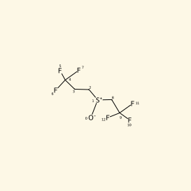 [O-][S+](CCC(F)(F)F)CC(F)(F)F